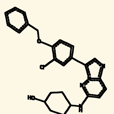 OC1CCC(Nc2ccc3ncc(-c4ccc(OCc5ccccc5)c(Cl)c4)n3n2)CC1